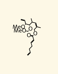 C=CCC/C=C/C(=O)OC/C(C)=C\C(C)[C@H](OCOC)[C@H](C=C)OC